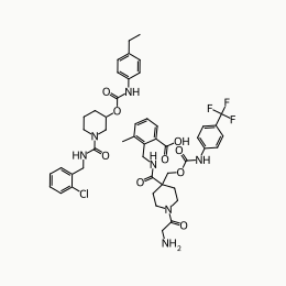 CCc1ccc(NC(=O)OC2CCCN(C(=O)NCc3ccccc3Cl)C2)cc1.Cc1cccc(C(=O)O)c1CNC(=O)C1(COC(=O)Nc2ccc(C(F)(F)F)cc2)CCN(C(=O)CN)CC1